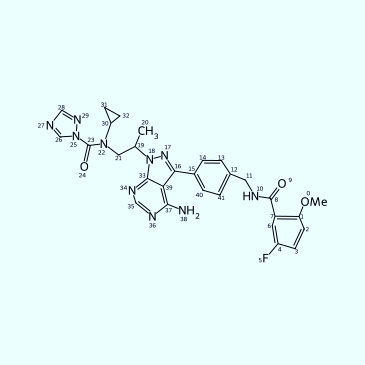 COc1ccc(F)cc1C(=O)NCc1ccc(-c2nn(C(C)CN(C(=O)n3cncn3)C3CC3)c3ncnc(N)c23)cc1